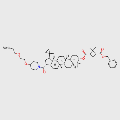 COCCOCCOC1CCN(C(=O)[C@@H]2C[C@@H](C3(C)CC3)[C@H]3C2CC[C@]2(C)[C@@H]3CC[C@@H]3[C@@]4(C)CC[C@H](OC(=O)[C@H]5C[C@@H](C(=O)OCc6ccccc6)C5(C)C)C(C)(C)[C@@H]4CC[C@]32C)CC1